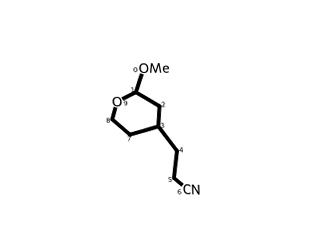 COC1CC(CCC#N)CCO1